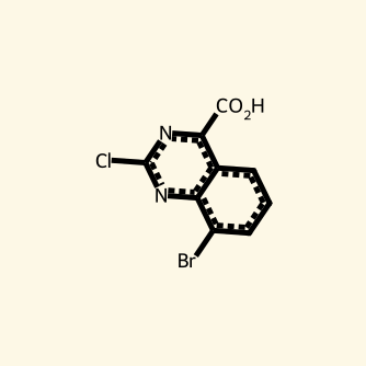 O=C(O)c1nc(Cl)nc2c(Br)cccc12